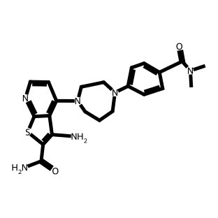 CN(C)C(=O)c1ccc(N2CCCN(c3ccnc4sc(C(N)=O)c(N)c34)CC2)cc1